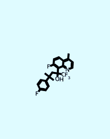 Cc1ccnc2c(C(O)(CC(C)(C)c3ccc(F)cc3)C(F)(F)F)c(F)ccc12